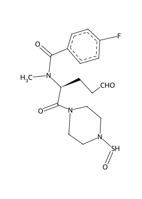 CN(C(=O)c1ccc(F)cc1)[C@@H](CCC=O)C(=O)N1CCN([SH]=O)CC1